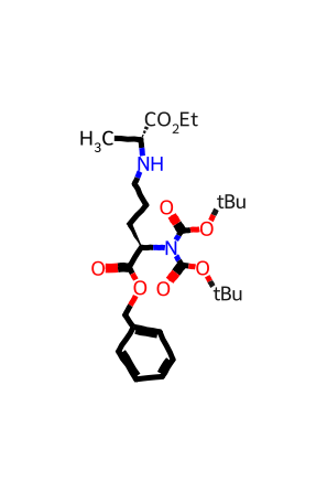 CCOC(=O)[C@@H](C)NCCC[C@H](C(=O)OCc1ccccc1)N(C(=O)OC(C)(C)C)C(=O)OC(C)(C)C